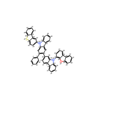 c1ccc(-c2cc3c(cc2-c2ccc4c5ccccc5n(-c5cccc6c5oc5ccccc56)c4c2)c2ccccc2n3-c2ccc3sc4ccccc4c3c2)cc1